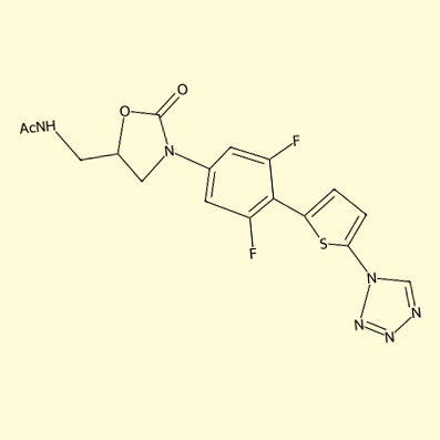 CC(=O)NCC1CN(c2cc(F)c(-c3ccc(-n4cnnn4)s3)c(F)c2)C(=O)O1